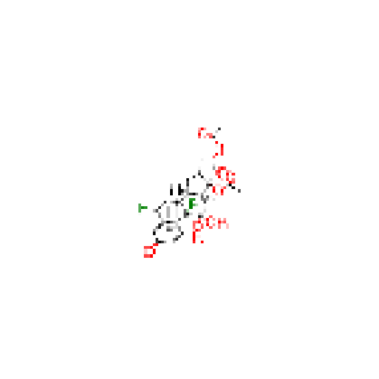 CC(=O)OCC(=O)[C@@]1(OC(C)=O)C(C)C[C@H]2[C@@H]3CC(F)C4=CC(=O)C=C[C@]4(C)[C@@]3(F)C(O)(O)C[C@@]21C